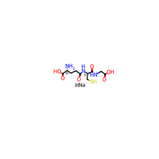 N[C@H](CCC(=O)N[C@H](CS)C(=O)NCC(=O)O)C(=O)O.[NaH]